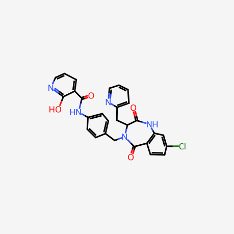 O=C(Nc1ccc(CN2C(=O)c3ccc(Cl)cc3NC(=O)C2Cc2ccccn2)cc1)c1cccnc1O